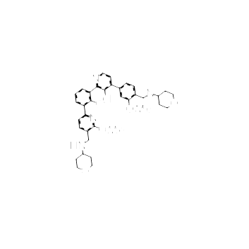 COc1cc(-c2ccnc(-c3cccc(-c4ccc(CNC5CCOCC5)c(OC)n4)c3Cl)c2Cl)ccc1CNC1CCOCC1